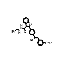 COc1cccc(C=C(C#N)c2ccc(-c3oc4ccccc4c3C(=O)NNCC(C)C)cc2)c1